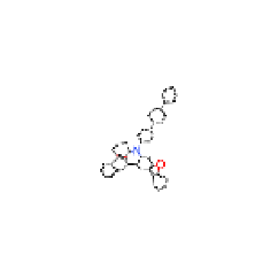 c1ccc(-c2ccc(-c3ccc(N(c4ccccc4)c4cc5oc6ccccc6c5cc4-c4ccc5ccccc5c4)cc3)cc2)cc1